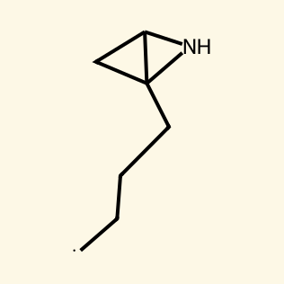 [CH2]CCCC12CC1N2